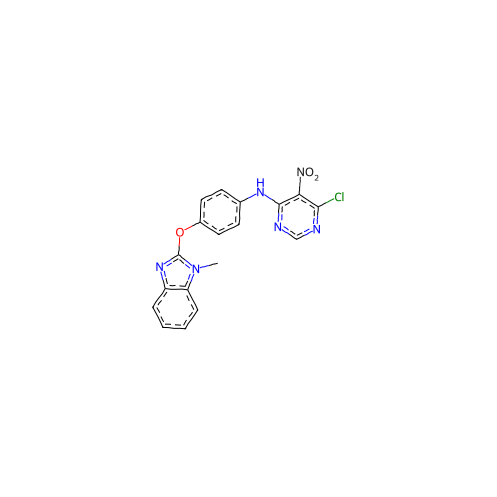 Cn1c(Oc2ccc(Nc3ncnc(Cl)c3[N+](=O)[O-])cc2)nc2ccccc21